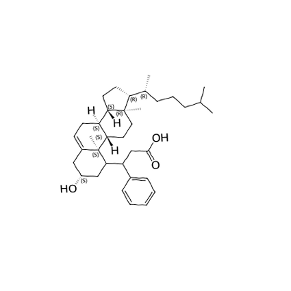 CC(C)CCC[C@@H](C)[C@H]1CC[C@H]2[C@@H]3CC=C4C[C@@H](O)CC(C(CC(=O)O)c5ccccc5)[C@]4(C)[C@H]3CC[C@]12C